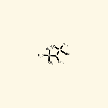 CC(C)(C)[Si](C)(C)N(N)[Si](C)(C)C(C)(C)C